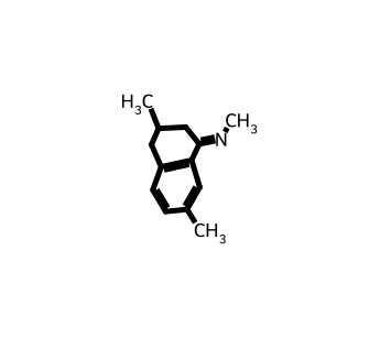 CN=C1CC(C)Cc2ccc(C)cc21